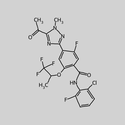 CC(=O)c1nc(-c2cc(OC(C)C(F)(F)F)c(C(=O)Nc3c(F)cccc3Cl)cc2F)nn1C